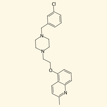 Cc1ccc2c(OCCN3CCN(Cc4cccc(Cl)c4)CC3)cccc2n1